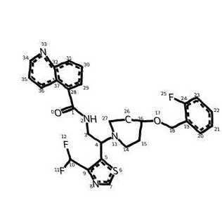 O=C(NCC(c1scnc1C(F)F)N1CCC(OCc2ccccc2F)CC1)c1cccc2ncccc12